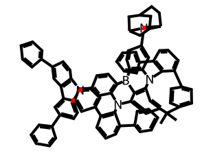 CC1(C)c2ccc(cc2)-c2cccc(-c3ccccc3)c2N2c3cc(N4CC5CCC6CC5CC4C6)ccc3B3c4ccc(-n5c6ccc(-c7ccccc7)cc6c6cc(-c7ccccc7)ccc65)cc4N(c4c(-c5ccccc5)cccc4-c4ccccc4)c4cc1cc2c43